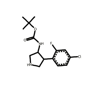 CC(C)(C)OC(=O)NC1CNCC1c1ccc(Cl)cc1F